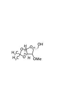 COC1[C@H]2OC(C)(C)O[C@@H]2O[C@@H]1CO